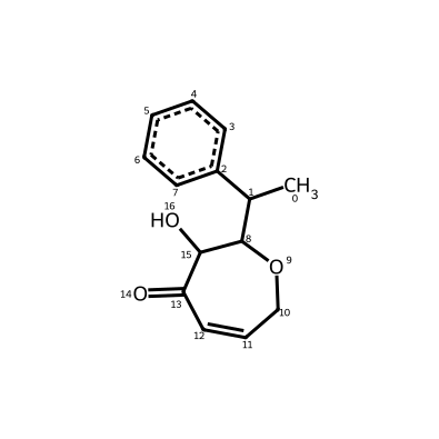 CC(c1ccccc1)C1OCC=CC(=O)C1O